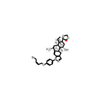 C[C@H]1C[C@@H]2[C@H]([C@@H](O)C[C@@]3(C)[C@H]2CC[C@@]32OCOC23COCO3)[C@@]2(C)Cc3cnn(-c4ccc(OC/C=C\CBr)cc4)c3C=C12